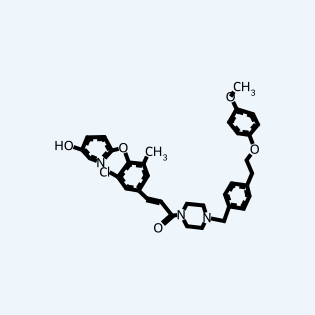 COc1ccc(OCCc2ccc(CN3CCN(C(=O)C=Cc4cc(C)c(Oc5ccc(O)cn5)c(Cl)c4)CC3)cc2)cc1